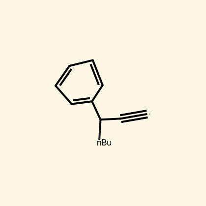 [C]#CC(CCCC)c1ccccc1